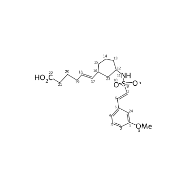 COc1cccc(C=CS(=O)(=O)NC2CCCC(C=CCCCC(=O)O)C2)c1